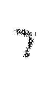 O=C(O)c1ccc2oc(C(O)CCc3ccc(OCCCCCc4ccccc4)cc3)nc2c1